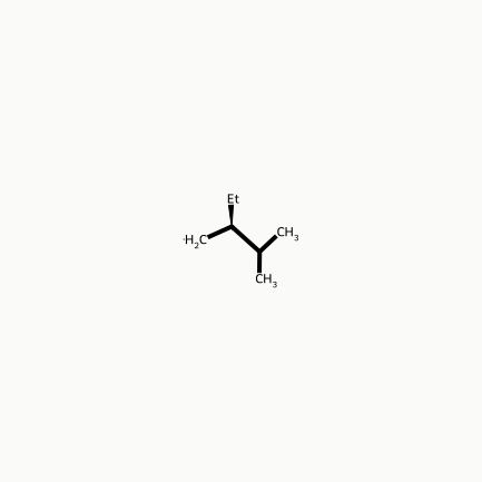 [CH2][C@@H](CC)C(C)C